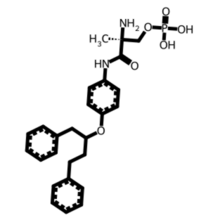 C[C@](N)(COP(=O)(O)O)C(=O)Nc1ccc(OC(CCc2ccccc2)Cc2ccccc2)cc1